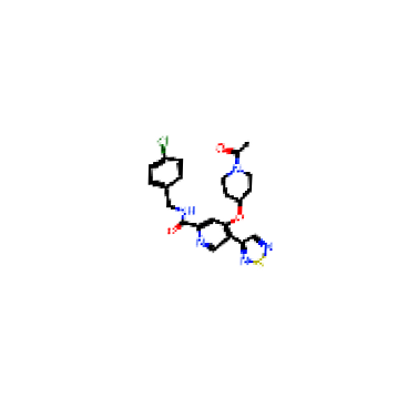 CC(=O)N1CCC(Oc2cc(C(=O)NCc3ccc(Cl)cc3)ncc2-c2cnsn2)CC1